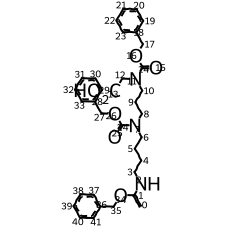 C=C(NCCCCN(CCCN(CC(=O)O)C(=O)OCc1ccccc1)C(=O)OCc1ccccc1)OCc1ccccc1